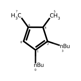 CCCCC1=C(CCCC)C(C)C(C)=C1